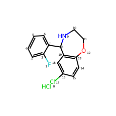 Cl.Fc1ccccc1C1NCCOc2ccc(Cl)cc21